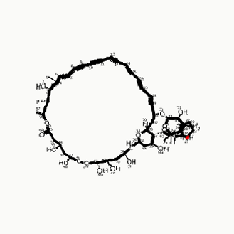 C[C@@H]1[C@H](O)[C@@H](C)/C=C/C=C/C=C/C=C/C=C/C=C/C=C/[C@H](O[C@@H]2O[C@H](C)[C@@H](O)[C@H](N)[C@@H]2O)C[C@@H]2O[C@](O)(C[C@@H](O)C[C@@H](O)[C@H](O)CC[C@@H](O)C[C@@H](O)CC(=O)O[C@H]1C)C[C@H](O)[C@H]2C(=O)NC1CCCC1